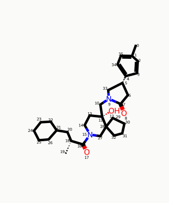 Cc1ccc([C@@H]2CC(=O)N(C[C@]3(O)CCN(C(=O)[C@H](C)CC4CCCCC4)CC34CCCC4)C2)cc1